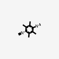 C#[N+]c1c(C)c(C)c([N+]#C)c(C)c1C